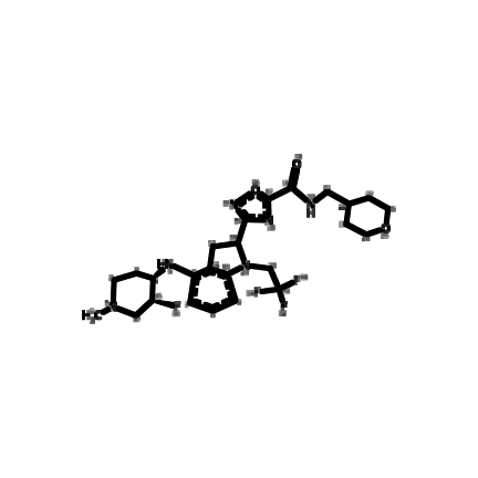 CN1CC[C@@H](Nc2cccc3c2CC(c2noc(C(=O)NCC4CCOCC4)n2)N3CC(F)(F)F)[C@@H](F)C1